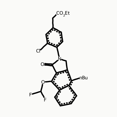 CCCCc1c2c(c(OC(F)F)c3ccccc13)C(=O)N(c1ccc(CC(=O)OCC)cc1Cl)C2